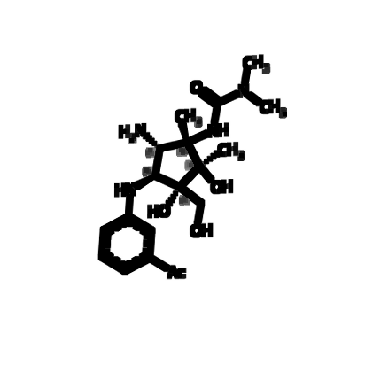 CC(=O)c1cccc(N[C@H]2[C@H](N)[C@](C)(NC(=O)N(C)C)[C@@](C)(O)[C@@]2(O)CO)c1